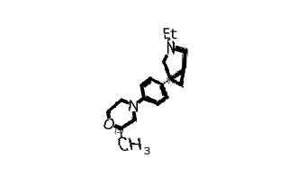 CCN1CC2C[C@@]2(c2ccc(N3CCO[C@@H](C)C3)cc2)C1